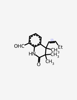 CC/C=C\C1(C)c2cccc(C=O)c2NC(=O)C1(C)C